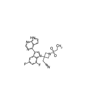 CCS(=O)(=O)N1CC(CC#N)(n2cc(-c3ncnc4[nH]ccc34)c3cc(F)cc(F)c32)C1